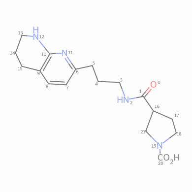 O=C(NCCCc1ccc2c(n1)NCCC2)C1CCN(C(=O)O)C1